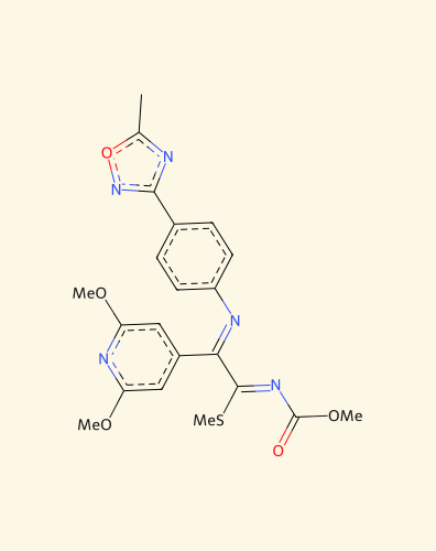 COC(=O)N=C(SC)C(=Nc1ccc(-c2noc(C)n2)cc1)c1cc(OC)nc(OC)c1